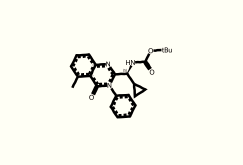 Cc1cccc2nc([C@@H](NC(=O)OC(C)(C)C)C3CC3)n(-c3ccccc3)c(=O)c12